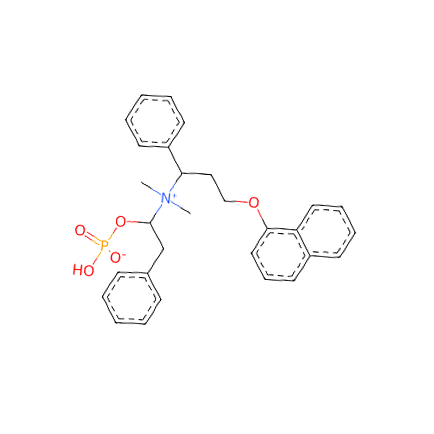 C[N+](C)(C(Cc1ccccc1)OP(=O)([O-])O)C(CCOc1cccc2ccccc12)c1ccccc1